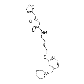 O=C(C[S@+]([O-])Cc1ccco1)NCC=CCOc1cc(CN2CCCCC2)ccn1